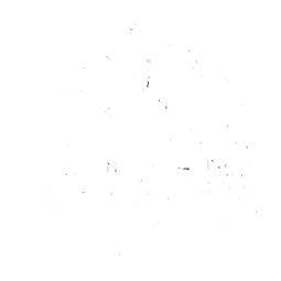 CC/C=C/[C@](CN1CCC2(CCO2)CC1)(OC)[C@@H]1CC[C@H]1CN1C[C@@]2(CCCc3cc(Cl)ccc32)COc2ccc(C(=O)NS(=O)(=O)C(C)C)cc21